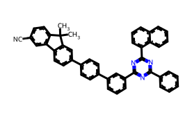 CC1(C)c2ccc(C#N)cc2-c2ccc(-c3ccc(-c4cccc(-c5nc(-c6ccccc6)nc(-c6cccc7ccccc67)n5)c4)cc3)cc21